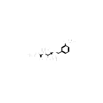 COc1cccc(CSC(C)(C)[C@H](NC(=O)OC(C)(C)C)C(=O)O)c1